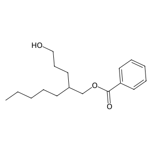 CCCCCC(CCCO)COC(=O)c1ccccc1